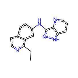 CCc1nccc2ccc(Nc3n[nH]c4cccnc34)cc12